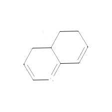 C1=CC2=NC=CC[C@H]2CC1